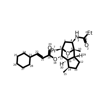 CCC(=O)N[C@@H]1C[C@]2(C(C)C)O[C@@]1(C)[C@@H]1CC[C@@H](C)[C@H]1[C@@H]2OC(=O)/C=C/C1CCCCC1